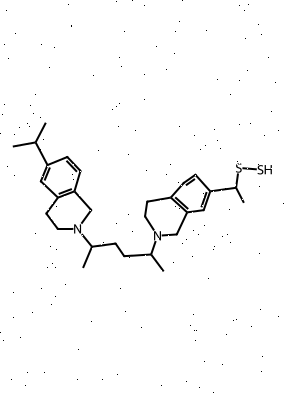 CC(C)c1ccc2c(c1)CCN(C(C)CCC(C)N1CCc3ccc(C(C)SS)cc3C1)C2